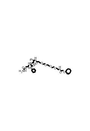 CC(C)[C@H](NC(=O)CCOCCOCCOCCOCCNC(=O)COC1C#CCCCCC1)C(=O)N[C@@H](CCCNC(N)=O)C(=O)Nc1cc[c]cc1